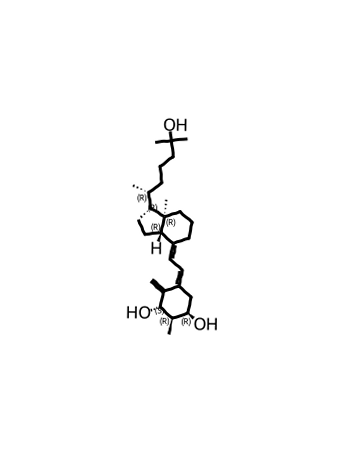 C=C1C(=CC=C2CCC[C@]3(C)[C@@H]([C@H](C)CCCC(C)(C)O)CC[C@@H]23)C[C@@H](O)[C@@H](C)[C@@H]1O